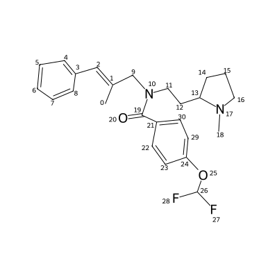 C/C(=C\c1ccccc1)CN(CCC1CCCN1C)C(=O)c1ccc(OC(F)F)cc1